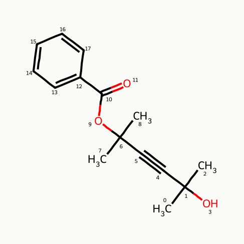 CC(C)(O)C#CC(C)(C)OC(=O)c1ccccc1